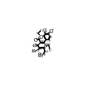 CCOC(=O)c1c(-c2ccc(Cl)c(Cl)c2)n(CC)c(CBr)c(Br)c1=O